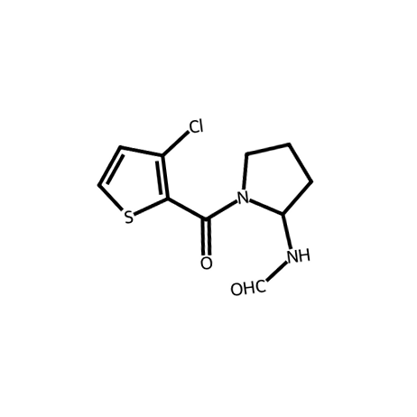 O=CNC1CCCN1C(=O)c1sccc1Cl